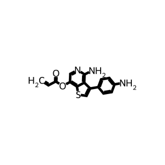 C=CC(=O)Oc1cnc(N)c2c(-c3ccc(N)cc3)csc12